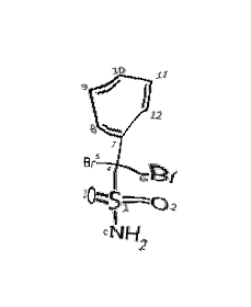 NS(=O)(=O)C(Br)(Br)c1ccccc1